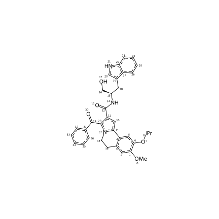 COc1cc2c(cc1OC(C)C)-c1cc(C(=O)N[C@@H](CO)Cc3c[nH]c4ccccc34)c(C(=O)c3ccccc3)n1CC2